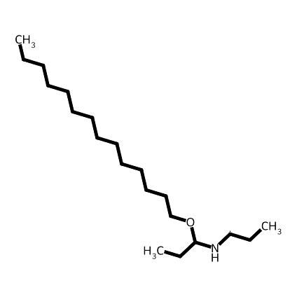 CC[CH]NC(CC)OCCCCCCCCCCCCCC